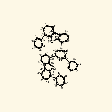 c1ccc(-c2nc(-c3cccc4c3sc3c(-c5ccccc5)cccc34)nc(-c3cccc4c3sc3c(-c5ccccc5)cccc34)n2)cc1